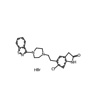 Br.O=C1Cc2cc(CCN3CCN(c4nsc5ccccc45)CC3)c(Cl)cc2N1